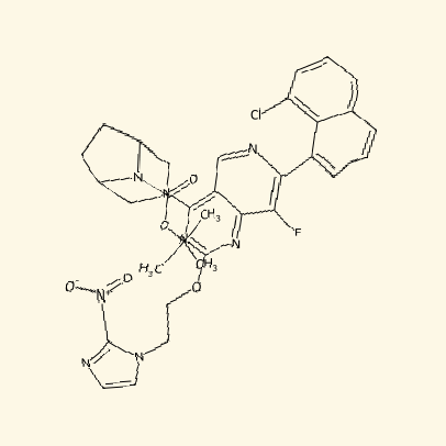 CC(C)(C)OC(=O)N1C2CCC1CN(c1nc(OCCn3ccnc3[N+](=O)[O-])nc3c(F)c(-c4cccc5cccc(Cl)c45)ncc13)C2